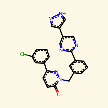 O=c1ccc(-c2cccc(Cl)c2)nn1Cc1cccc(-c2ncc(-c3cn[nH]c3)cn2)c1